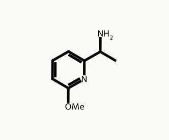 COc1cccc(C(C)N)n1